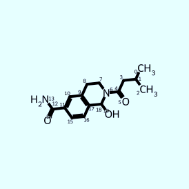 CC(C)CC(=O)N1CCc2cc(C(N)=O)ccc2C1O